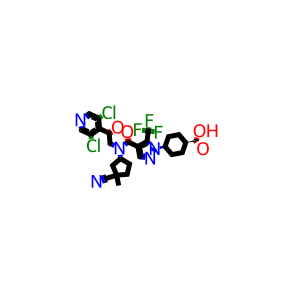 CC1(C#N)CCC(N(CC(=O)c2c(Cl)cncc2Cl)C(=O)c2cnn([C@H]3CC[C@H](C(=O)O)CC3)c2C(F)(F)F)C1